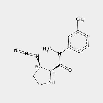 Cc1cccc(N(C)C(=O)[C@H]2NCC[C@H]2N=[N+]=[N-])c1